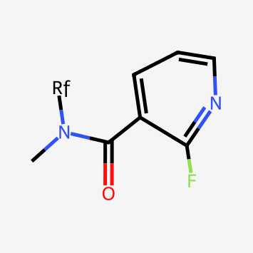 C[N]([Rf])C(=O)c1cccnc1F